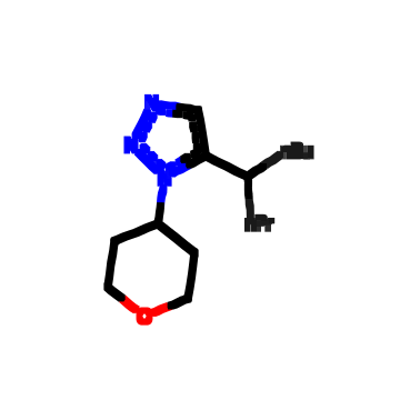 CCCCC(CCC)c1cnnn1C1CCOCC1